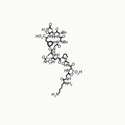 CC[C@H](C)[C@H](NC(=O)CNC(=O)[C@H](CCC(N)=O)NC(=O)[C@@H](NC(=O)[C@@H]1CCCN1C(=O)CNC(=O)[C@H](CC(=O)O)NC(=O)CNC(=O)[C@@H](N)CCCCN)C(C)C)C(=O)N[C@H](C(=O)N[C@@H](CC(N)=O)C(=O)N[C@@H](Cc1ccccc1)C(=O)O)[C@@H](C)CC